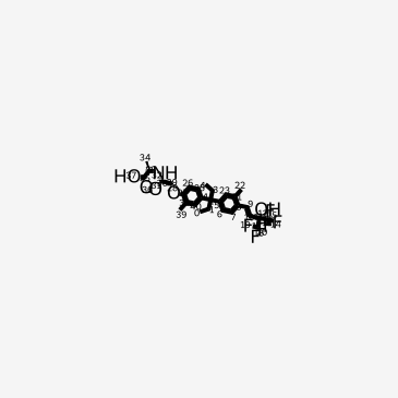 CCC(CC)(c1ccc(C=CC(O)(C(F)(F)F)C(F)(F)F)c(C)c1)c1ccc(OCC(=O)N[C@H](C)C(=O)O)c(C)c1